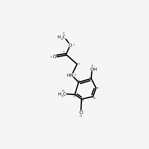 COC(=O)CNc1c(O)ccc(Cl)c1C